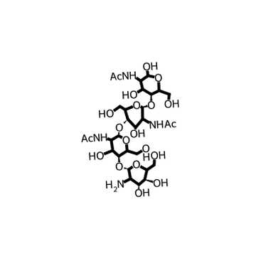 CC(=O)NC1C(O)OC(CO)[C@@H](O[C@@H]2OC(CO)[C@@H](O[C@@H]3OC(CO)[C@@H](O[C@@H]4OC(CO)[C@@H](O)[C@H](O)C4N)C(O)C3NC(C)=O)[C@H](O)C2NC(C)=O)C1O